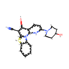 N#Cc1c(=O)c2ccc(N3CCC(O)CC3)nc2n2c1sc1ccccc12